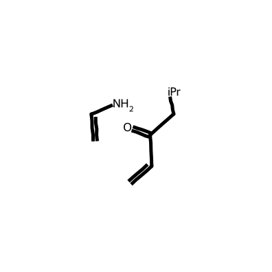 C=CC(=O)CC(C)C.C=CN